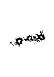 Cc1c(Cl)cccc1S(=O)(=O)Nc1cccc(COc2ccc(C(F)(F)F)cc2)n1